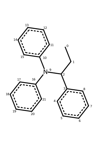 CCC(c1ccccc1)N(c1ccccc1)c1ccccc1